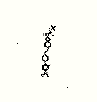 CC(C)(C)OC(=O)NC1CC2(CCN(CCC3CCN(c4ccc([N+](=O)[O-])cc4F)CC3)CC2)C1